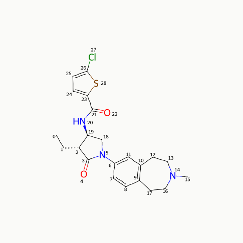 CC[C@H]1C(=O)N(c2ccc3c(c2)CCN(C)CC3)C[C@@H]1NC(=O)c1ccc(Cl)s1